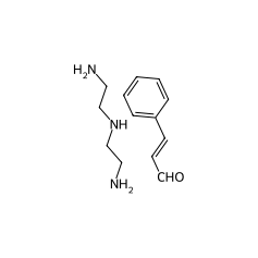 NCCNCCN.O=CC=Cc1ccccc1